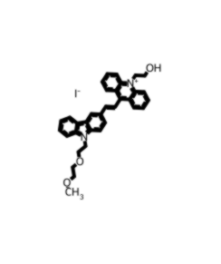 COCCOCCn1c2ccccc2c2cc(/C=C/c3c4ccccc4[n+](CCO)c4ccccc34)ccc21.[I-]